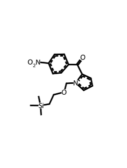 C[Si](C)(C)CCOCn1cccc1C(=O)c1ccc([N+](=O)[O-])cc1